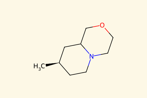 C[C@@H]1CCN2CCOCC2C1